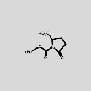 CC(C)(C)OC(=O)N1C(=O)CC[C@@H]1C(=O)O